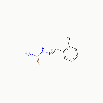 CCc1ccccc1/C=N/NC(N)=S